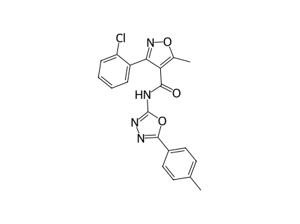 Cc1ccc(-c2nnc(NC(=O)c3c(-c4ccccc4Cl)noc3C)o2)cc1